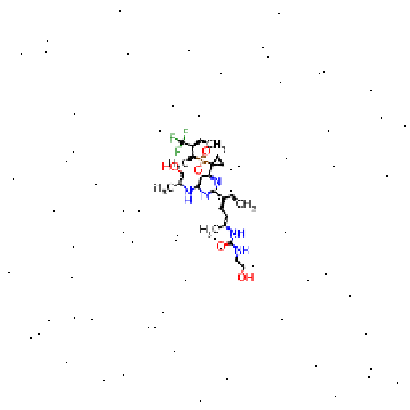 C=C/C(=C\C=C(/C)NC(=O)NCCO)c1nc(N[C@@H](C)CO)cc(C2(S(=O)(=O)C(=C)/C(=C\C)C(F)(F)F)CC2)n1